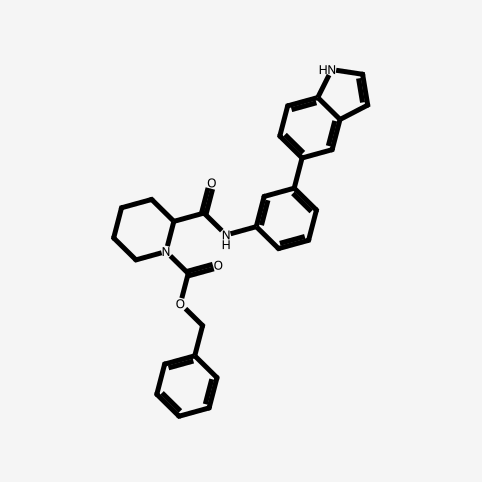 O=C(Nc1cccc(-c2ccc3[nH]ccc3c2)c1)C1CCCCN1C(=O)OCc1ccccc1